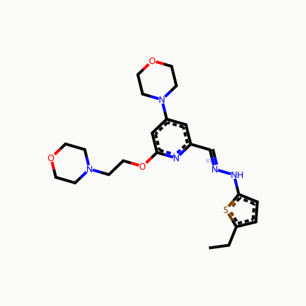 CCc1ccc(N/N=C/c2cc(N3CCOCC3)cc(OCCN3CCOCC3)n2)s1